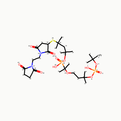 CCCC(C)(C)OP(=O)(O)OC(C)(C)CCOC(C)(C)P(=O)(O)OC(C)(C)CC(C)(C)SC1CC(=O)N(CCN2C(=O)CCC2=O)C1=O